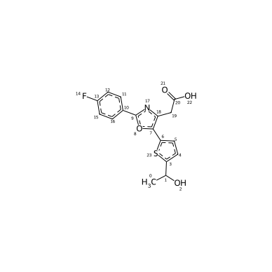 CC(O)c1ccc(-c2oc(-c3ccc(F)cc3)nc2CC(=O)O)s1